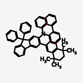 CC1(C)CCC(C)(C)c2cc(-c3cc4c(cc3N(c3ccccc3)c3ccccc3-c3ccccc3)C(c3ccccc3)(c3ccccc3)c3ccccc3-4)ccc21